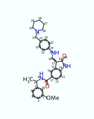 COc1cccc(C(C)NC(=O)c2ccc3c(c2)/C(=C/Nc2ccc(CN4CCCCC4)cc2)C(=O)N3)c1